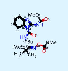 CCCCNC(=O)n1c(NC(=O)OC)nc2ccccc21.CNC(=O)O/N=C/C(C)(C)SC